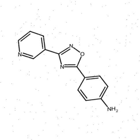 Nc1ccc(-c2nc(-c3cccnc3)no2)cc1